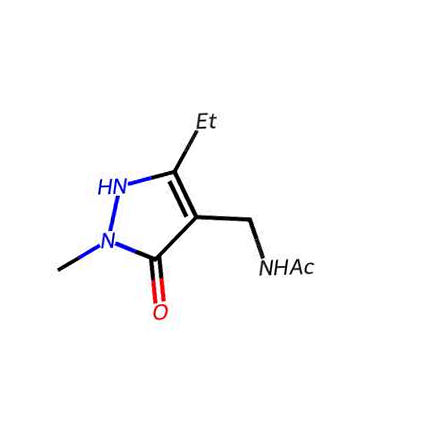 CCc1[nH]n(C)c(=O)c1CNC(C)=O